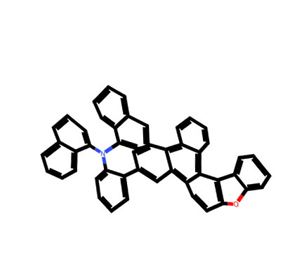 c1ccc(N(c2cccc3ccccc23)c2cccc3ccccc23)c(-c2ccc3c4ccccc4c4c(ccc5oc6ccccc6c54)c3c2)c1